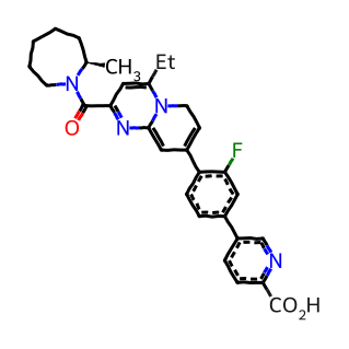 CCC1=CC(C(=O)N2CCCCC[C@H]2C)=NC2=CC(c3ccc(-c4ccc(C(=O)O)nc4)cc3F)=CCN12